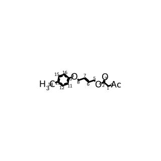 CC(=O)CC(=O)OCC=CCOc1ccc(C)cc1